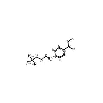 CCC(C)c1ccc(OCCCC(F)(F)F)cc1